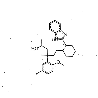 COc1ccc(F)cc1C(C)(CCC1CCCCC1c1nc2ccccc2[nH]1)CC(C)O